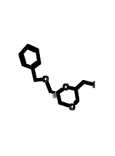 ICC1COC[C@H](COCc2ccccc2)O1